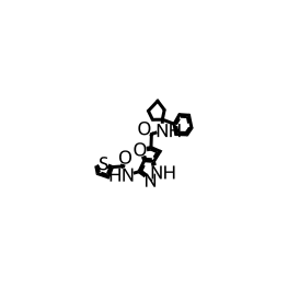 O=C(NC1(c2ccccc2)CCCC1)c1cc2[nH]nc(NC(=O)c3cccs3)c2o1